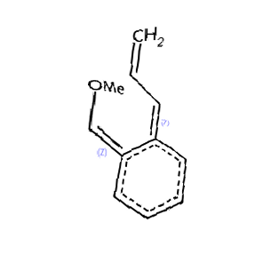 C=C/C=c1/cccc/c1=C/OC